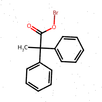 CC(C(=O)OBr)(c1ccccc1)c1ccccc1